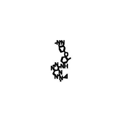 Cc1cc(Nc2ncnc3cnc(N(C)C4CC4)nc23)ccc1Oc1ccc2c(c1)ncn2C